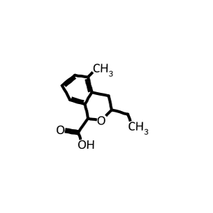 CCC1Cc2c(C)cccc2C(C(=O)O)O1